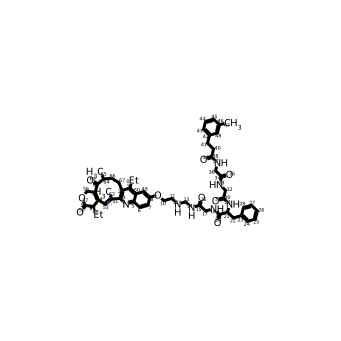 CCc1c2c(nc3ccc(OCCNCNC(=O)CNC(=O)C(Cc4ccccc4)NC(=O)CNC(=O)CNC(=O)CCc4cccc(C)c4)cc13)/C(C)=C/C1=C(COC(=O)[C@@H]1CC)C(=O)C(C)CC2